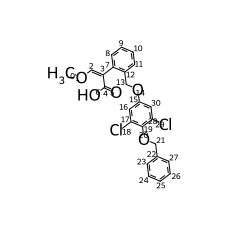 COC=C(C(=O)O)c1ccccc1COc1cc(Cl)c(OCc2ccccc2)c(Cl)c1